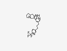 FC(F)(F)c1ccc(CCCc2cnc3[nH]c4c(c3c2)CN2CCCC2C4)cn1